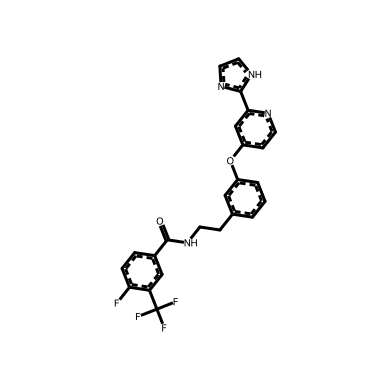 O=C(NCCc1cccc(Oc2ccnc(-c3ncc[nH]3)c2)c1)c1ccc(F)c(C(F)(F)F)c1